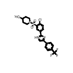 O=S(=O)(c1cc(-c2nc(-c3ccc(C(F)(F)F)cc3)c[nH]2)ccc1Cl)N1CCC(O)CC1